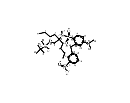 CCCCC(CCCC)(CO[Si](C)(C)C(C)(C)C)N(C)S(=O)(=O)c1ccc(N(C)C)cc1Cc1cccc([N+](=O)[O-])c1